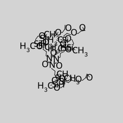 C[SiH]1CCO[Si](C)(CCCOCC2CO2)O[Si](C)(CCCn2c(=O)n(CCC[Si]3(C)O[SiH](C)OCC[Si](C)(CCCOCC4CO4)O3)c(=O)n(CCC[Si]3(C)O[SiH](C)CCO[Si](C)(CCCOCC4CO4)O3)c2=O)O1